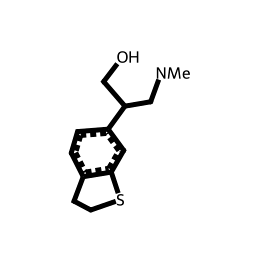 CNCC(CO)c1ccc2c(c1)SCC2